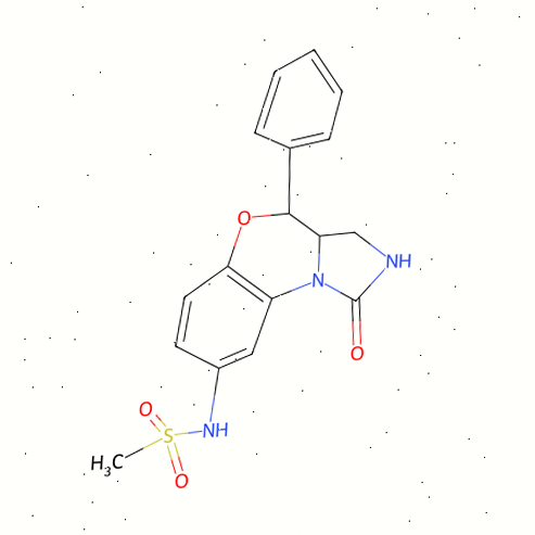 CS(=O)(=O)Nc1ccc2c(c1)N1C(=O)NCC1C(c1ccccc1)O2